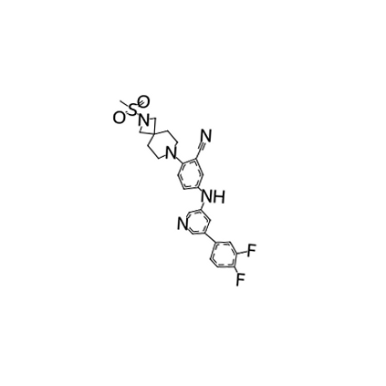 CS(=O)(=O)N1CC2(CCN(c3ccc(Nc4cncc(-c5ccc(F)c(F)c5)c4)cc3C#N)CC2)C1